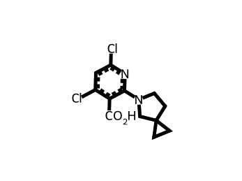 O=C(O)c1c(Cl)cc(Cl)nc1N1CCC2(CC2)C1